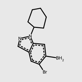 Bc1cc2c(cnn2C2CCCCC2)cc1Br